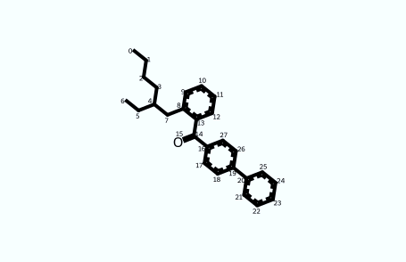 CCCCC(CC)Cc1ccccc1C(=O)c1ccc(-c2ccccc2)cc1